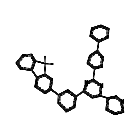 CC1(C)c2ccccc2-c2ccc(-c3cccc(-c4cc(-c5cccnc5)nc(-c5ccc(-c6ccccc6)cc5)n4)c3)cc21